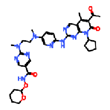 CC(=O)c1c(C)c2cnc(Nc3ccc(N(C)CCN(C)c4ncc(C(=O)NOC5CCCCO5)cn4)cn3)nc2n(C2CCCC2)c1=O